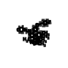 Cc1nc(NCCN2CCOCC2)c(-c2ccc(OCCc3ccc(F)cc3)cc2)c(N2CCC(C)(C)CC2)c1C(OC(C)(C)C)C(=O)O